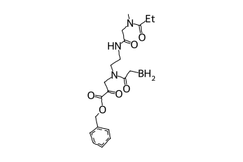 BCC(=O)N(CCNC(=O)CN(C)C(=O)CC)CC(=O)C(=O)OCc1ccccc1